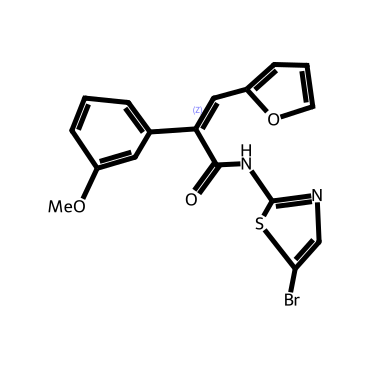 COc1cccc(/C(=C/c2ccco2)C(=O)Nc2ncc(Br)s2)c1